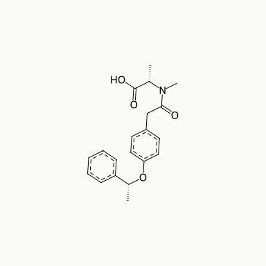 C[C@@H](Oc1ccc(CC(=O)N(C)[C@@H](C)C(=O)O)cc1)c1ccccc1